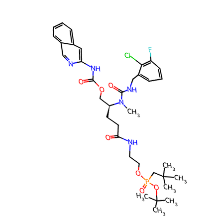 CN(C(=O)NCc1cccc(F)c1Cl)[C@@H](CCC(=O)NCCOP(=O)(CC(C)(C)C)OC(C)(C)C)COC(=O)Nc1cc2ccccc2cn1